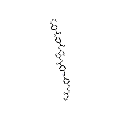 C=CC(=O)OCOc1ccc(/C=C/c2ccc(C(=O)OC3COC4C(OC(=O)c5ccc(OC(=O)c6ccc(OC)cc6)cc5)COC34)cc2)cc1